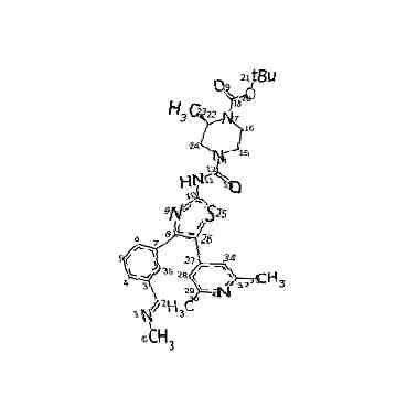 CN=Cc1cccc(-c2nc(NC(=O)N3CCN(C(=O)OC(C)(C)C)[C@H](C)C3)sc2-c2cc(C)nc(C)c2)c1